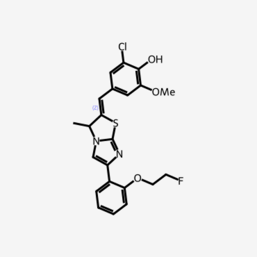 COc1cc(/C=C2\Sc3nc(-c4ccccc4OCCF)cn3C2C)cc(Cl)c1O